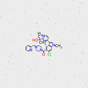 Cn1cc(-c2ccnc(C(C)(C)O)n2)c2cc(C(=O)N3CCN(Cc4ccccn4)CC3)c(Cl)cc21